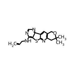 C=CCNc1ncnc2c1sc1nc3c(cc12)COC(C)(C)C3